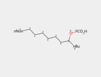 CCCCCCCCCCCCCCCC(CCCC)OC(=O)O